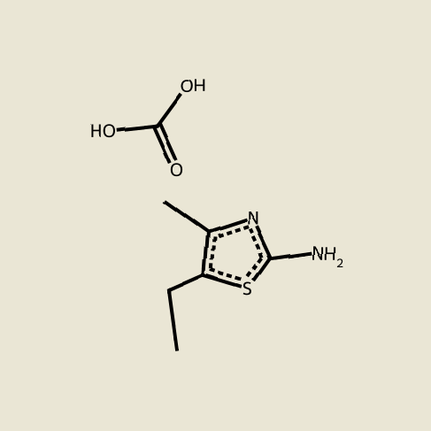 CCc1sc(N)nc1C.O=C(O)O